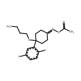 CCCCOC1(c2cc(F)ccc2F)CCC(=NOC(C)=O)CC1